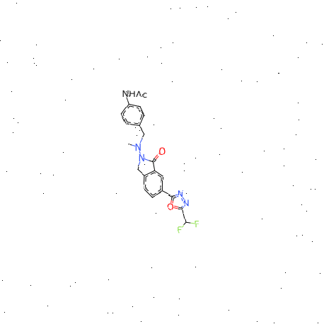 CC(=O)Nc1ccc(CN(C)N2Cc3ccc(-c4nnc(C(F)F)o4)cc3C2=O)cc1